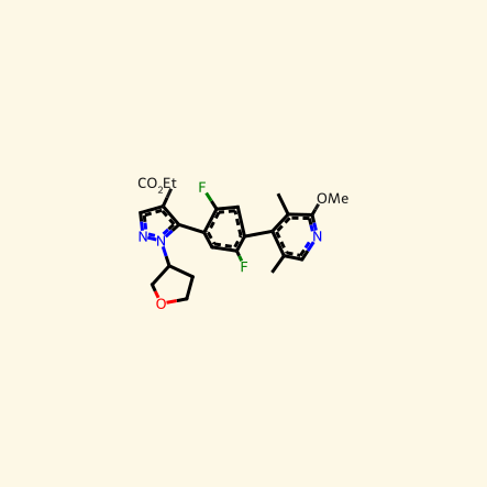 CCOC(=O)c1cnn(C2CCOC2)c1-c1cc(F)c(-c2c(C)cnc(OC)c2C)cc1F